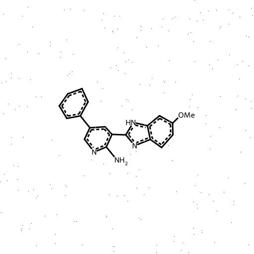 COc1ccc2nc(-c3cc(-c4ccccc4)cnc3N)[nH]c2c1